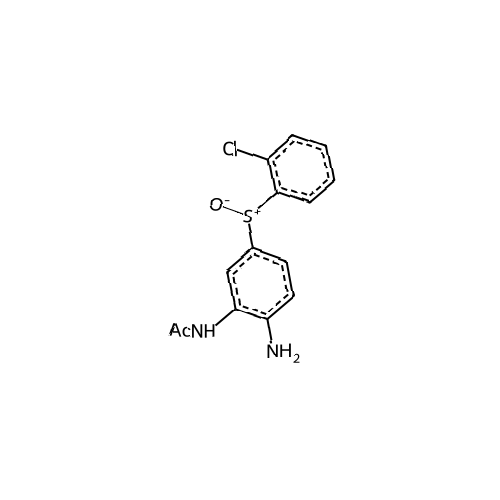 CC(=O)Nc1cc([S+]([O-])c2ccccc2Cl)ccc1N